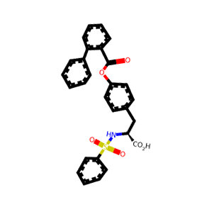 O=C(Oc1ccc(C[C@H](NS(=O)(=O)c2ccccc2)C(=O)O)cc1)c1ccccc1-c1ccccc1